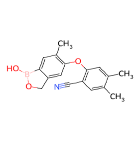 Cc1cc(C#N)c(Oc2cc3c(cc2C)B(O)OC3)cc1C